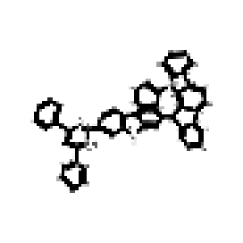 C1=C(c2ccccc2)N=C(c2ccc3c(c2)oc2cc(C4c5ccccc5-c5ccc6c7ccccc7n(-c7ccccc7)c6c54)ccc23)NC1c1ccccc1